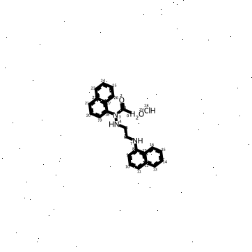 CC(=O)N(NCCNc1cccc2ccccc12)c1cccc2ccccc12.Cl.O